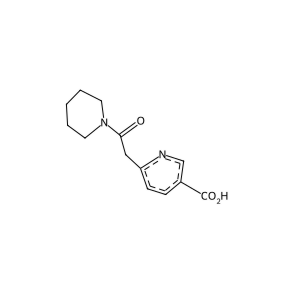 O=C(O)c1ccc(CC(=O)N2CCCCC2)nc1